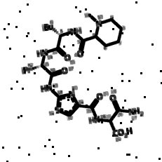 CCC(C)[C@H](NC(=O)C1CCCCN1C)C(=O)N[C@H](C(=O)Nc1nc(C(=O)NC(C(N)=O)C(=O)O)cs1)C(C)C